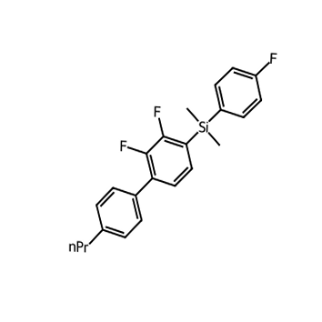 CCCc1ccc(-c2ccc([Si](C)(C)c3ccc(F)cc3)c(F)c2F)cc1